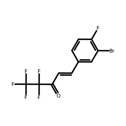 O=C(C=Cc1ccc(F)c(Br)c1)C(F)(F)C(F)(F)F